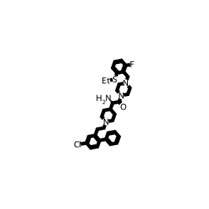 CCSc1cccc(F)c1CN1CCN(C(=O)[C@H](N)C2CCN(CCc3cc(Cl)ccc3-c3ccccc3)CC2)CC1